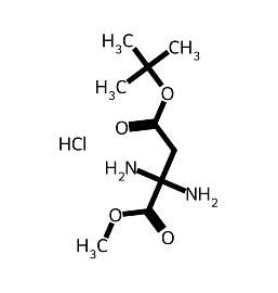 COC(=O)C(N)(N)CC(=O)OC(C)(C)C.Cl